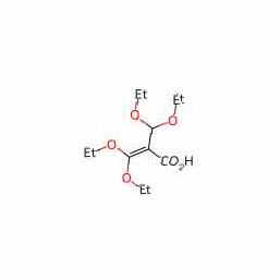 CCOC(OCC)=C(C(=O)O)C(OCC)OCC